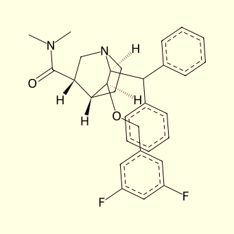 CN(C)C(=O)[C@@H]1CN2CC[C@H]1[C@H](OCc1cc(F)cc(F)c1)[C@@H]2C(c1ccccc1)c1ccccc1